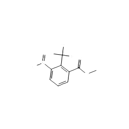 [2H]C([2H])([2H])c1c(C(=O)OC)cccc1[N+](=O)[O-]